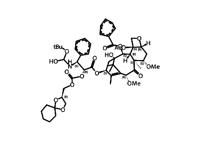 CO[C@H]1C(=O)[C@]2(C)[C@@H](OC)C[C@H]3OC[C@@]3(OC(C)=O)[C@H]2[C@H](OC(=O)c2ccccc2)C2(O)C[C@H](OC(=O)[C@H](OC(=O)OC[C@H]3COC4(CCCCC4)O3)[C@@H](NC(O)OC(C)(C)C)c3ccccc3)C(C)=C1C2(C)C